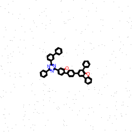 c1ccc(-c2cccc(-c3nc(-c4ccccc4)nc(-c4ccc5c(c4)oc4cc(-c6cc(-c7ccccc7)c7oc8ccccc8c7c6)ccc45)n3)c2)cc1